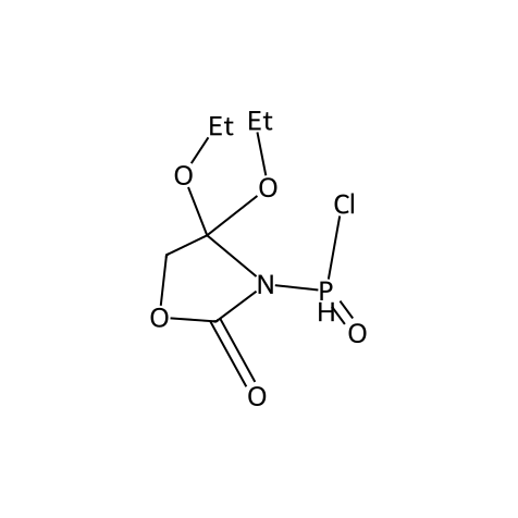 CCOC1(OCC)COC(=O)N1[PH](=O)Cl